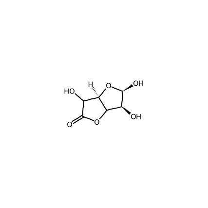 O=C1OC2[C@H](O[C@@H](O)[C@H]2O)C1O